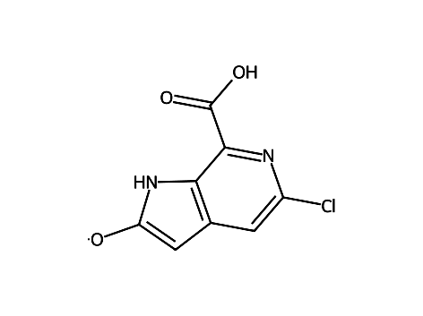 [O]c1cc2cc(Cl)nc(C(=O)O)c2[nH]1